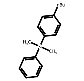 CCCCc1ccc([Si](C)(C)c2ccccc2)cc1